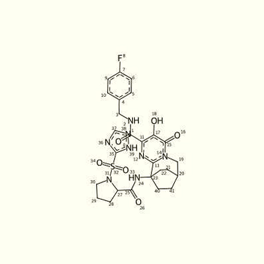 O=C(NCc1ccc(F)cc1)c1nc2n(c(=O)c1O)CC1CCC2(NC(=O)C2CCCN2S(=O)(=O)c2ncn[nH]2)CC1